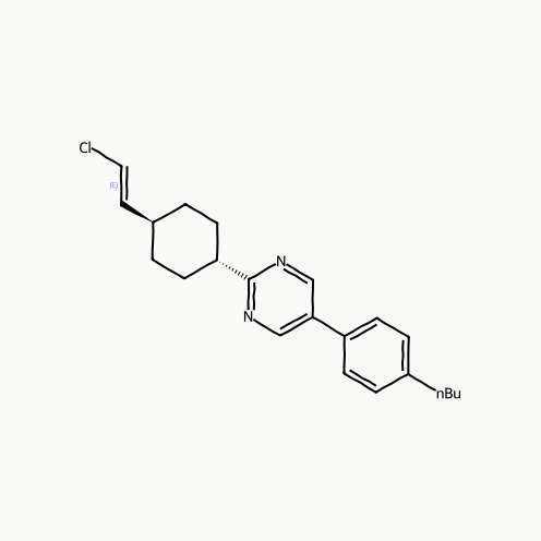 CCCCc1ccc(-c2cnc([C@H]3CC[C@H](/C=C/Cl)CC3)nc2)cc1